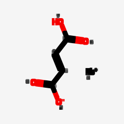 O=C([O-])C=CC(=O)O.[Rb+]